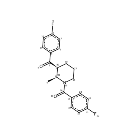 C[C@H]1[C@@H](C(=O)c2ccc(F)cc2)CCCN1C(=O)c1ccc(F)cc1